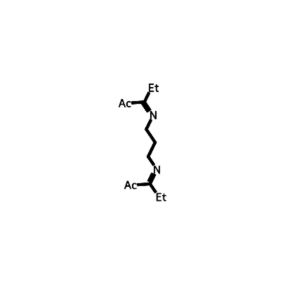 CCC(=NCCCN=C(CC)C(C)=O)C(C)=O